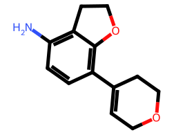 Nc1ccc(C2=CCOCC2)c2c1CCO2